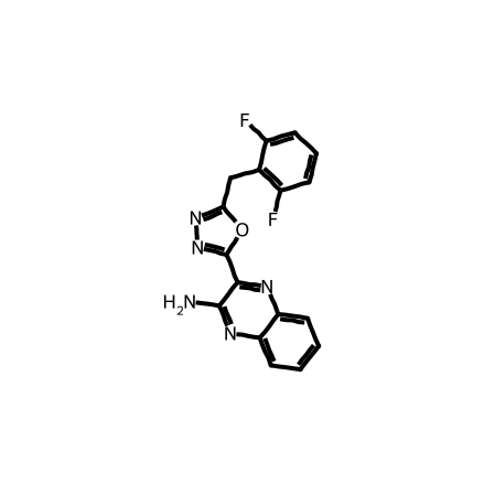 Nc1nc2ccccc2nc1-c1nnc(Cc2c(F)cccc2F)o1